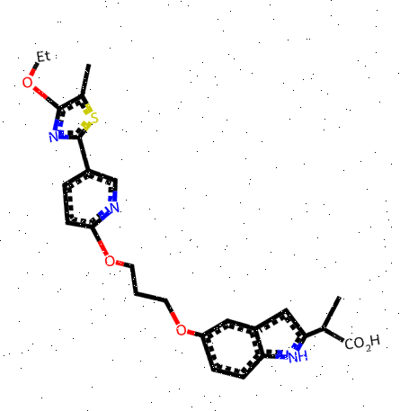 CCOc1nc(-c2ccc(OCCCOc3ccc4[nH]c(C(C)C(=O)O)cc4c3)nc2)sc1C